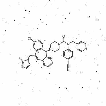 Cc1nccn1CC1=Cc2cccnc2C(N2CCN(C(=O)N(Cc3ccncc3)c3ccc(C#N)cc3)CC2)c2ccc(Cl)cc21